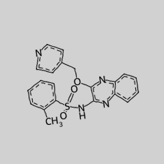 Cc1ccccc1S(=O)(=O)Nc1nc2ccccc2nc1OCc1ccncc1